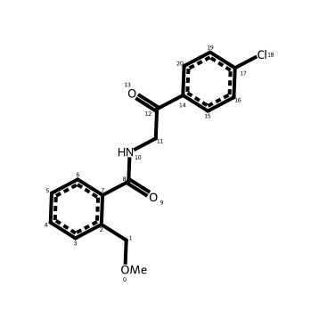 COCc1ccccc1C(=O)NCC(=O)c1ccc(Cl)cc1